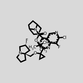 CC(C)(C)OC(=O)N1C2CCC1CN(c1nc(C3(OC[C@@]45CCCN4C[C@H](F)C5)CC3)nc3c(F)c(Cl)ncc13)C2